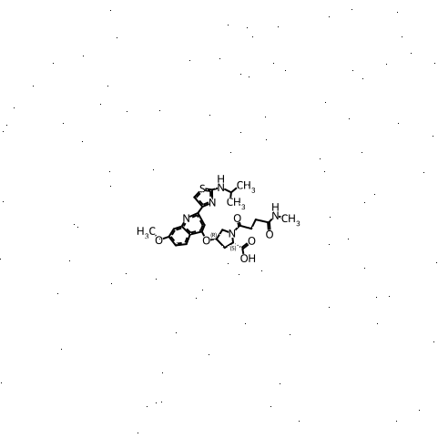 CNC(=O)CCC(=O)N1C[C@H](Oc2cc(-c3csc(NC(C)C)n3)nc3cc(OC)ccc23)C[C@H]1C(=O)O